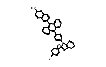 CC1C=C[C@@](C)(c2nc3c(n2-c2ccc(-c4c5ccccc5c(-c5ccc6c(c5)C=CC(C)C6)c5ccccc45)cc2)C=CCC3)CC1